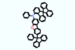 c1ccc(N(c2ccc3c(c2)oc2cc(C4(c5ccccc5)c5ccccc5-c5ccccc54)ccc23)c2cccc3c2-c2ccccc2C32c3ccccc3-c3ccccc32)cc1